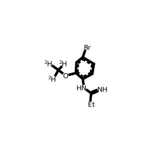 [2H]C([2H])([2H])Oc1cc(Br)ccc1NC(=N)CC